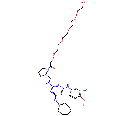 COc1ccc(Nc2nc(NCC3CCCN3C(=O)CCOCCOCCOCCOCCO)nc(NC3CCCCCC3)n2)cc1F